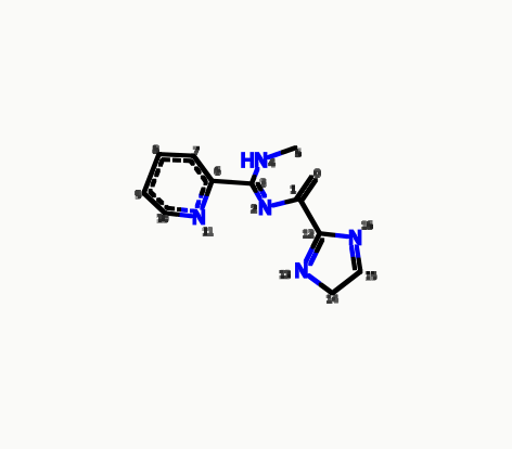 C=C(/N=C(\NC)c1ccccn1)C1=NCC=N1